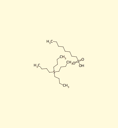 CCCCCCCCS(=O)(=O)O.CCCCS(CCCC)(CCCC)CCCC